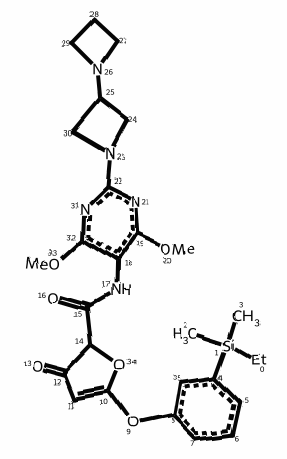 CC[Si](C)(C)c1cccc(OC2=CC(=O)C(C(=O)Nc3c(OC)nc(N4CC(N5CCC5)C4)nc3OC)O2)c1